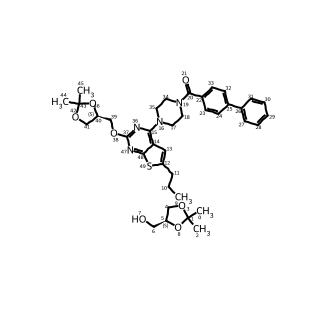 CC1(C)OC[C@H](CO)O1.CCCc1cc2c(N3CCN(C(=O)c4ccc(-c5ccccc5)cc4)CC3)nc(OC[C@H]3COC(C)(C)O3)nc2s1